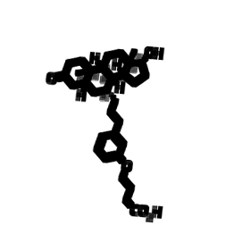 C[C@]12CCC(=O)C[C@@H]1C[C@@H](CCCc1cccc(OCCCC(=O)O)c1)[C@@H]1[C@@H]2CC[C@]2(C)[C@@H](O)CC[C@@H]12